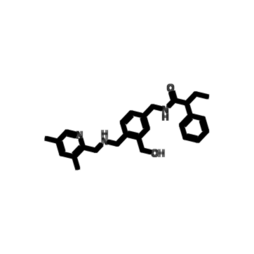 CCC(C(=O)NCc1ccc(CNCc2ncc(C)cc2C)c(CO)c1)c1ccccc1